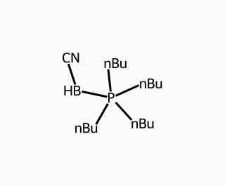 CCCCP(BC#N)(CCCC)(CCCC)CCCC